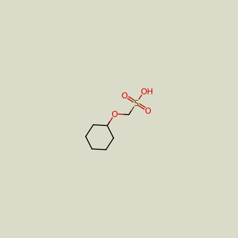 O=S(=O)(O)COC1CCCCC1